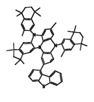 Cc1cc2c3c(c1)N(c1cc4c(cc1C)C(C)(C)CCC4(C)C)c1cc4c(cc1B3c1cc(-c3cccc5sc6ccccc6c35)ccc1N2c1cc2c(cc1C)C(C)(C)CCC2(C)C)C(C)(C)CC4(C)C